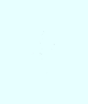 O=[N+]([O-])c1cc(I)ccc1CCCO